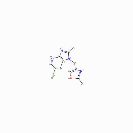 Cc1nc(Cn2c(C)nc3ncc(Br)cc32)co1